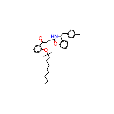 CCCCCCCCC(C)(C)Oc1ccccc1C(=O)CCC(=O)NC(Cc1ccc(C)cc1)c1ccccc1